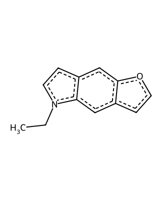 CCn1ccc2cc3occc3cc21